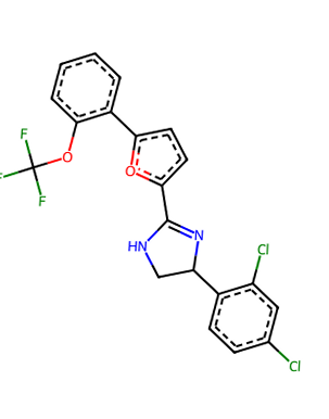 FC(F)(F)Oc1ccccc1-c1ccc(C2=NC(c3ccc(Cl)cc3Cl)CN2)o1